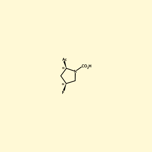 CC(=O)[C@@H]1C[C@H](F)CN1C(=O)O